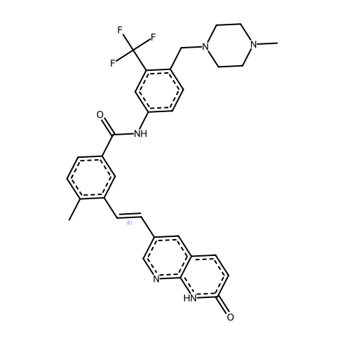 Cc1ccc(C(=O)Nc2ccc(CN3CCN(C)CC3)c(C(F)(F)F)c2)cc1/C=C/c1cnc2[nH]c(=O)ccc2c1